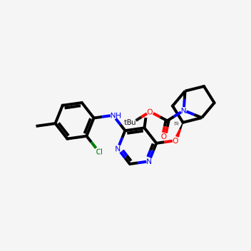 Cc1ccc(Nc2ncnc(O[C@H]3CC4CCC3N4C(=O)OC(C)(C)C)c2C)c(Cl)c1